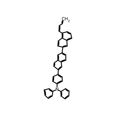 C=C/C=C\c1cccc2cc(-c3ccc4cc(-c5ccc(N(c6ccccc6)c6ccccc6)cc5)ccc4c3)ccc12